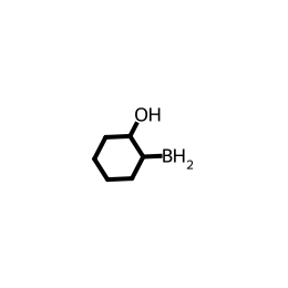 BC1CCCCC1O